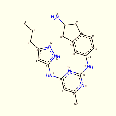 CCCc1cc(Nc2cc(C)nc(Nc3ccc4c(c3)CC(N)C4)n2)[nH]n1